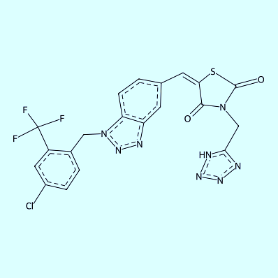 O=C1SC(=Cc2ccc3c(c2)nnn3Cc2ccc(Cl)cc2C(F)(F)F)C(=O)N1Cc1nnn[nH]1